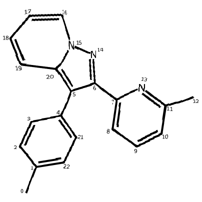 Cc1ccc(-c2c(-c3cccc(C)n3)nn3ccccc23)cc1